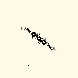 C=CCCOc1ccc(C(=O)C2(O)C=CC(O)(C(=O)c3ccc(OCCC=C)cc3)C=C2)cc1